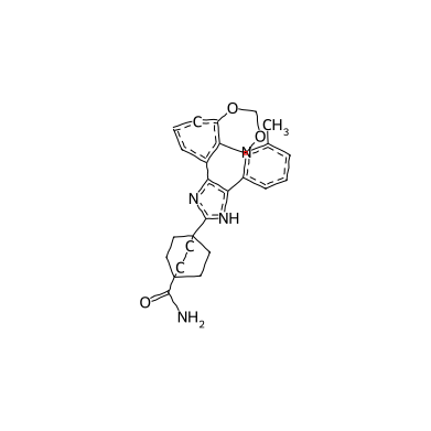 Cc1cccc(-c2[nH]c(C34CCC(C(N)=O)(CC3)CC4)nc2-c2cccc3c2COCO3)n1